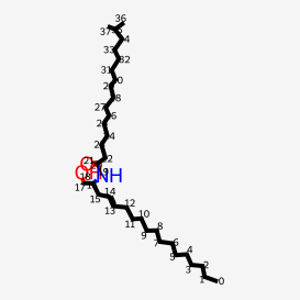 CCCCCCCCCCCCC/C=C/CC(CO)NC(=O)CCCCCCCCCCCCCC(C)C